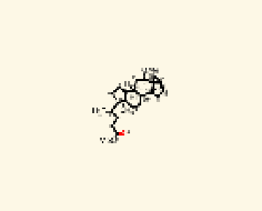 COC(=O)CC[C@@H](C)[C@H]1CC[C@H]2[C@@H]3CC(OC)C45CC4CC[C@]5(C)[C@H]3CC[C@]12C